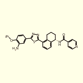 CC(C)Oc1ccc(-c2nnc(-c3cccc4c3CCC[C@@H]4NC(=O)c3ccncc3)s2)cc1N